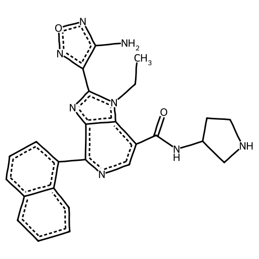 CCn1c(-c2nonc2N)nc2c(-c3cccc4ccccc34)ncc(C(=O)NC3CCNC3)c21